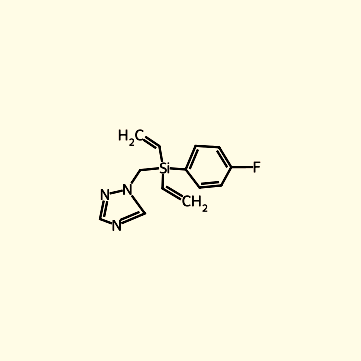 C=C[Si](C=C)(Cn1cncn1)c1ccc(F)cc1